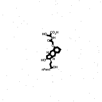 CCCCC[C@H](O)CC[C@@H]1[C@H]2Cc3cccc(OCC(=O)NC(CO)C(=O)O)c3C[C@H]2C[C@H]1O